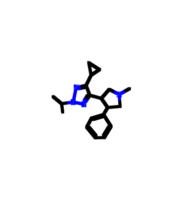 CC(C)n1nc(C2CC2)c(C2CN(C)CC2c2ccccc2)n1